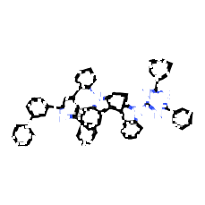 c1ccc(-c2cccc(-c3cc(-c4ccccc4-n4c5ccccc5c5c6c7ccccc7n(-c7nc(-c8ccccc8)nc(-c8ccccc8)n7)c6ccc54)cc(-c4ccccc4)n3)c2)cc1